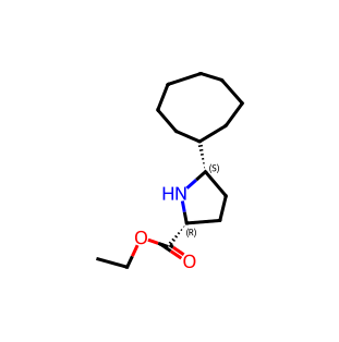 CCOC(=O)[C@H]1CC[C@@H](C2CCCCCCC2)N1